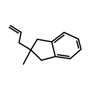 C=CCC1(C)Cc2ccccc2C1